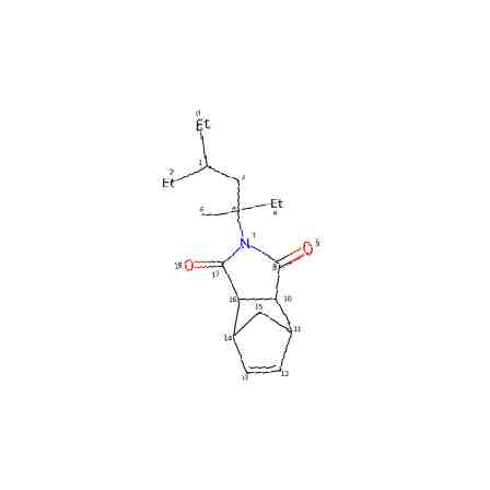 CCC(CC)CC(C)(CC)N1C(=O)C2C3C=CC(C3)C2C1=O